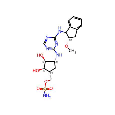 CO[C@H]1Cc2ccccc2C1Nc1ncnc(N[C@@H]2C[C@H](COS(N)(=O)=O)[C@@H](O)[C@H]2O)n1